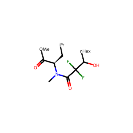 CCCCCCC(O)C(F)(F)C(=O)N(C)[C@H](CC(C)C)C(=O)OC